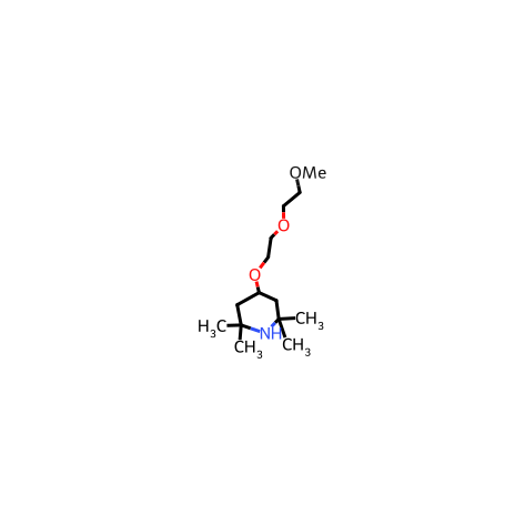 COCCOCCOC1CC(C)(C)NC(C)(C)C1